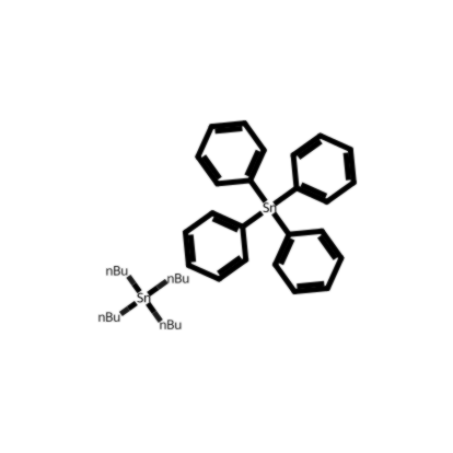 CCC[CH2][Sn]([CH2]CCC)([CH2]CCC)[CH2]CCC.c1cc[c]([Sn]([c]2ccccc2)([c]2ccccc2)[c]2ccccc2)cc1